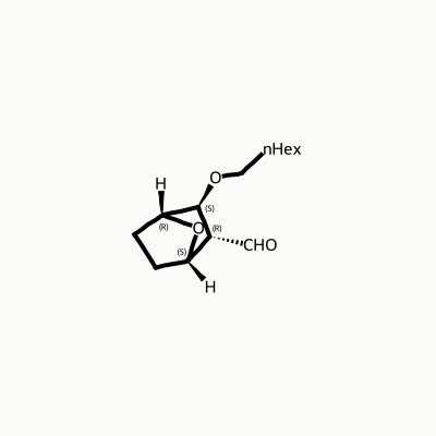 CCCCCCCO[C@H]1[C@H](C=O)[C@@H]2CC[C@H]1O2